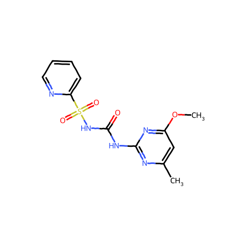 COc1cc(C)nc(NC(=O)NS(=O)(=O)c2ccccn2)n1